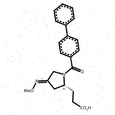 CO/N=C1\C[C@@H](CCC(=O)O)N(C(=O)c2ccc(-c3ccccc3)cc2)C1